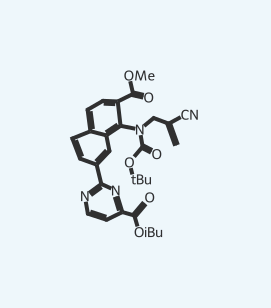 C=C(C#N)CN(C(=O)OC(C)(C)C)c1c(C(=O)OC)ccc2ccc(-c3nccc(C(=O)OCC(C)C)n3)cc12